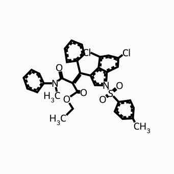 CCOC(=O)/C(C(=O)N(C)c1ccccc1)=C(/c1ccccc1)c1cn(S(=O)(=O)c2ccc(C)cc2)c2cc(Cl)cc(Cl)c12